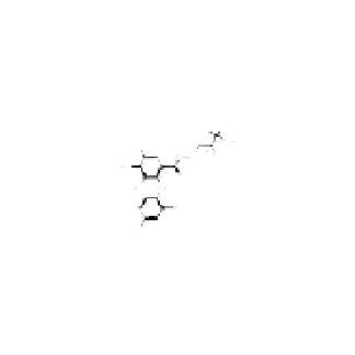 Cc1cc(I)ccc1Nc1c(C(=O)NOCC(O)C(F)(F)F)cc(Br)c(F)c1F